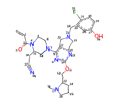 C=CC(=O)N1CCN(c2nc(OCC3CCCN3C)nc3c2CN(Cc2cc(O)ccc2F)C3)CC1CC#N